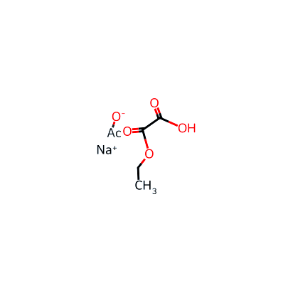 CC(=O)[O-].CCOC(=O)C(=O)O.[Na+]